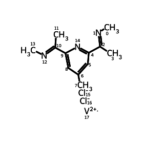 CN=C(C)c1cc(C)cc(C(C)=NC)n1.[Cl-].[Cl-].[V+2]